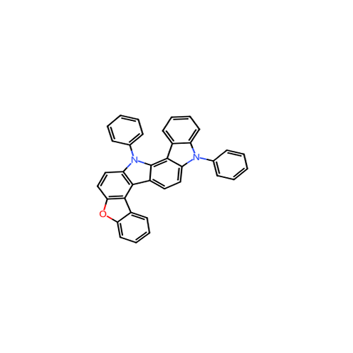 c1ccc(-n2c3ccccc3c3c2ccc2c4c5c(ccc4n(-c4ccccc4)c23)oc2ccccc25)cc1